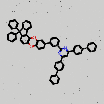 c1ccc(-c2ccc(-c3cc(-c4ccc(-c5ccccc5)cc4)nc(-c4cccc(-c5ccc6c(c5)Oc5c(ccc7c5-c5ccccc5C7(c5ccccc5)c5ccccc5)O6)c4)n3)cc2)cc1